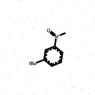 C[N+](=O)c1cccc(C(C)(C)C)c1